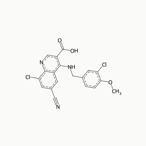 COc1ccc(CNc2c(C(=O)O)cnc3c(Cl)cc(C#N)cc23)cc1Cl